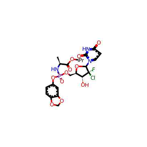 CC(C)OC(=O)[C@H](C)NP(=O)(OC[C@H]1OC(n2ccc(=O)[nH]c2=O)[C@@](F)(Cl)[C@@H]1O)Oc1ccc2c(c1)OCO2